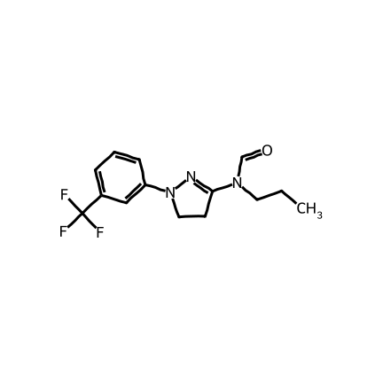 CCCN(C=O)C1=NN(c2cccc(C(F)(F)F)c2)CC1